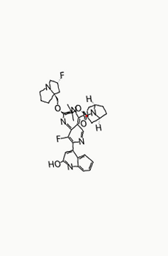 CC(C)(C)OC(=O)N1[C@@H]2CC[C@H]1CN(c1nc(OC[C@@]34CCCN3C[C@H](F)C4)nc3c(F)c(-c4cc(O)nc5ccccc45)ncc13)C2